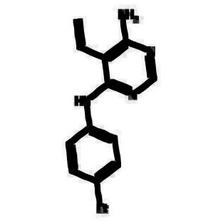 C=Cc1c(N)ncnc1Nc1ccc(CC)cc1